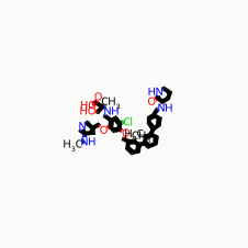 CNc1cncc(COc2cc(OCc3cccc(-c4cccc(-c5ccc(CN[C@H]6CCCNC6=O)cc5)c4C)c3C)c(Cl)cc2CN[C@@](C)(CO)C(=O)O)c1